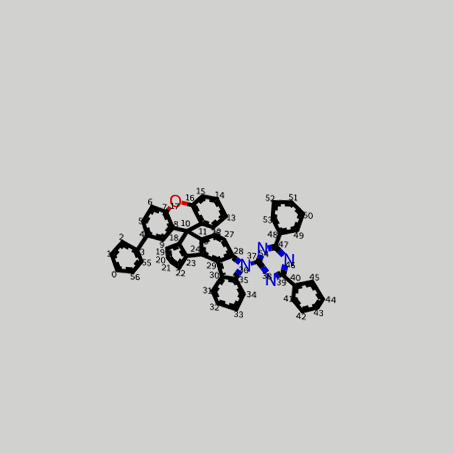 c1ccc(-c2ccc3c(c2)C2(c4ccccc4O3)c3ccccc3-c3c2ccc2c3c3ccccc3n2-c2nc(-c3ccccc3)nc(-c3ccccc3)n2)cc1